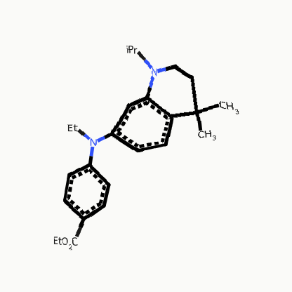 CCOC(=O)c1ccc(N(CC)c2ccc3c(c2)N(C(C)C)CCC3(C)C)cc1